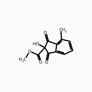 COC(=O)C1(O)C(=O)c2cccc(C)c2C1=O